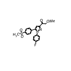 COCC(=O)c1cc(-c2ccc(S(C)(=O)=O)cc2)n(-c2ccc(F)cc2)n1